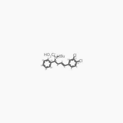 CC(C)(C)N(C(=O)O)C(CC=Cc1ccc(Cl)c(Cl)c1)c1ccccc1